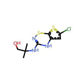 CC(C)(CO)NC1=NSc2sc(Cl)cc2N1